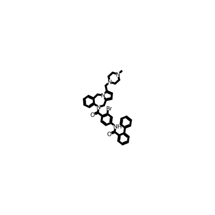 CN1CCN(Cc2ccc3n2Cc2ccccc2N(C(=O)c2ccc(NC(=O)c4ccccc4-c4ccccc4)cc2Br)C3)CC1